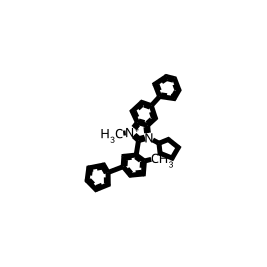 Cc1ccc(-c2ccccc2)cc1-c1n(C2CCCC2)c2cc(-c3ccccc3)ccc2[n+]1C